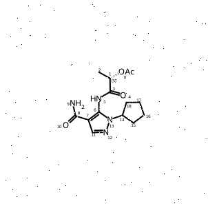 CC(=O)O[C@@H](C)C(=O)Nc1c(C(N)=O)cnn1C1CCCC1